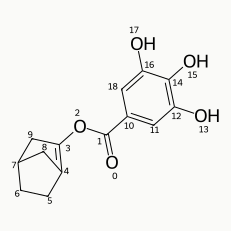 O=C(OC1=C2CCC(C2)C1)c1cc(O)c(O)c(O)c1